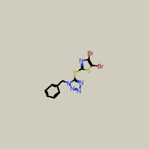 Brc1nc(Sc2nnnn2Cc2ccccc2)sc1Br